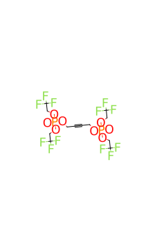 O=P(OCC#CCOP(=O)(OCC(F)(F)F)OCC(F)(F)F)(OCC(F)(F)F)OCC(F)(F)F